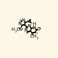 COc1ncnc(C2CC2)c1-c1ncc2c(C)cc(=O)[nH]c2n1